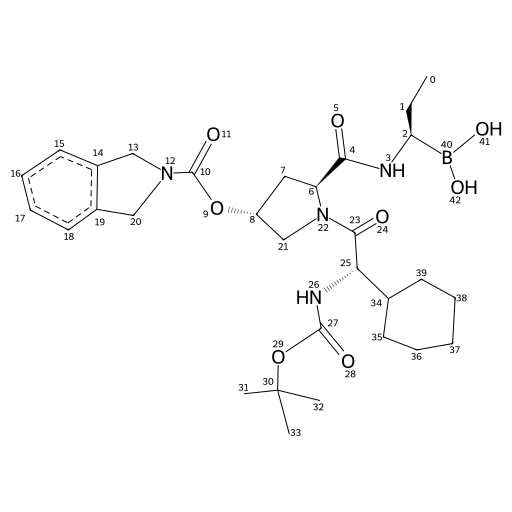 CC[C@H](NC(=O)[C@@H]1C[C@@H](OC(=O)N2Cc3ccccc3C2)CN1C(=O)[C@@H](NC(=O)OC(C)(C)C)C1CCCCC1)B(O)O